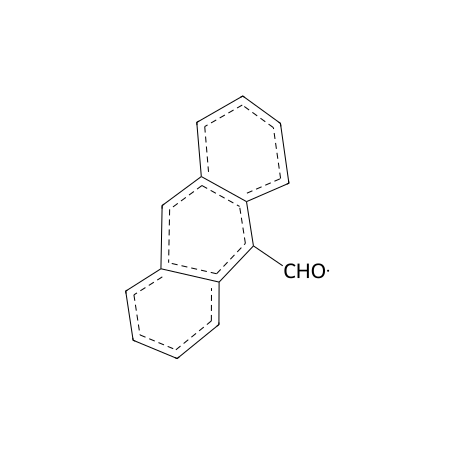 O=[C]c1c2ccccc2cc2ccccc12